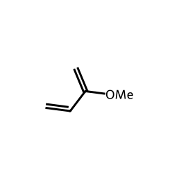 C=CC(=C)OC